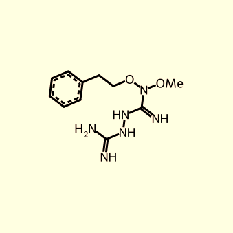 CON(OCCc1ccccc1)C(=N)NNC(=N)N